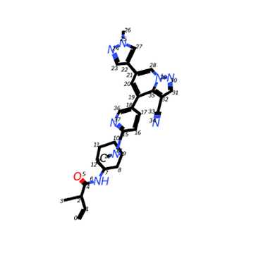 C=CC(C)C(=O)NC1CC2CCC1CN2c1ccc(-c2cc(-c3cnn(C)c3)cn3ncc(C#N)c23)cn1